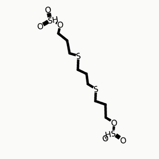 O=[SH](=O)OCCCSCCCSCCCO[SH](=O)=O